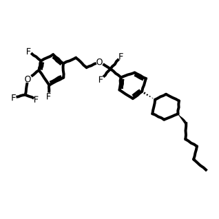 CCCCC[C@H]1CC[C@H](c2ccc(C(F)(F)OCCc3cc(F)c(OC(F)F)c(F)c3)cc2)CC1